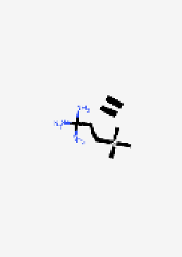 C=C.C=C.C[Si](C)(C)CCC(N)(N)N